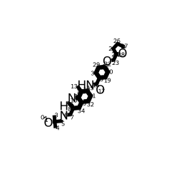 COC(C)(C)CNCc1cnc2c(C)c(NC(=O)c3ccc(OCC4CCCO4)cc3)ccc2c1